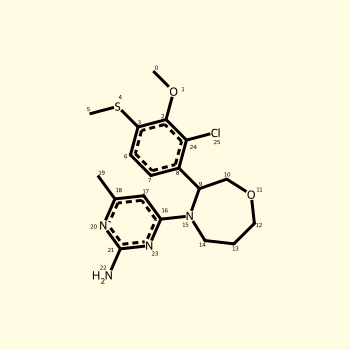 COc1c(SC)ccc(C2COCCCN2c2cc(C)nc(N)n2)c1Cl